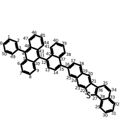 c1ccc(-c2c3ccccc3c(-c3ccc(-c4ccc5cc6c(cc5c4)sc4c5ccccc5ccc64)c4ccccc34)c3ccccc23)cc1